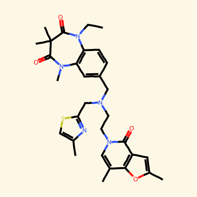 CCN1C(=O)C(C)(C)C(=O)N(C)c2cc(CN(CCn3cc(C)c4oc(C)cc4c3=O)Cc3nc(C)cs3)ccc21